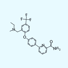 CCN(C)Cc1cc(C(F)(F)F)ccc1Oc1ccc(-c2cccc(C(N)=O)n2)cc1